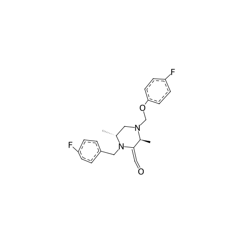 C[C@@H]1CN(COc2ccc(F)cc2)[C@@H](C)C(=C=O)N1Cc1ccc(F)cc1